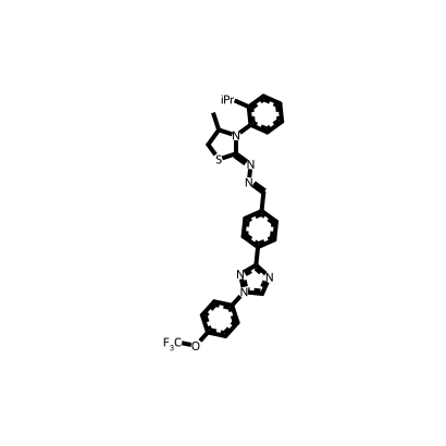 CC(C)c1ccccc1N1C(=NN=Cc2ccc(-c3ncn(-c4ccc(OC(F)(F)F)cc4)n3)cc2)SCC1C